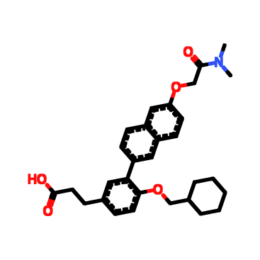 CN(C)C(=O)COc1ccc2cc(-c3cc(CCC(=O)O)ccc3OCC3CCCCC3)ccc2c1